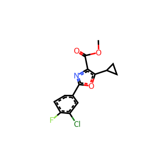 COC(=O)c1nc(-c2ccc(F)c(Cl)c2)oc1C1CC1